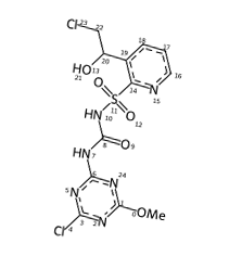 COc1nc(Cl)nc(NC(=O)NS(=O)(=O)c2ncccc2C(O)CCl)n1